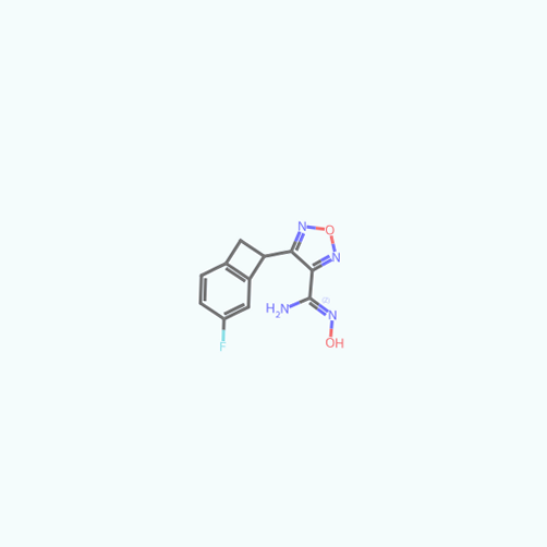 N/C(=N\O)c1nonc1C1Cc2ccc(F)cc21